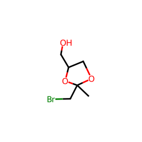 CC1(CBr)OCC(CO)O1